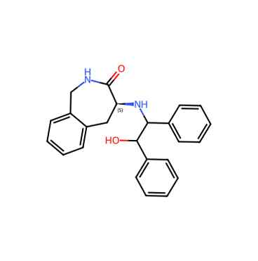 O=C1NCc2ccccc2C[C@@H]1NC(c1ccccc1)C(O)c1ccccc1